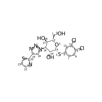 OC[C@H]1O[C@H](Sc2ccc(Cl)c(Cl)c2)[C@H](O)[C@@H](n2cc(-c3nccs3)nn2)[C@H]1O